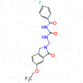 O=C(NCN1Cc2ccc(OCC(F)(F)F)cc2C1=O)NC(=O)c1ccc(F)cc1